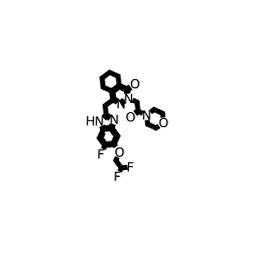 O=C(Cn1nc(Cc2nc3cc(OCC(F)F)c(F)cc3[nH]2)c2c(c1=O)CCCC2)N1CCOCC1